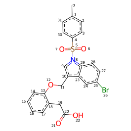 Cc1ccc(S(=O)(=O)n2cc(COc3ccccc3CC(=O)O)c3cc(Br)ccc32)cc1